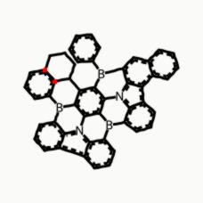 c1ccc(B2c3c(C4CCCCC4)c4c5c6c3-n3c7c2cccc7c2cccc(c23)B6c2cccc3c6c7ccccc7cc(c6n-5c23)B4c2ccccc2)cc1